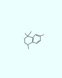 Cc1ccc2c(c1)C(C)(C)CCC2C